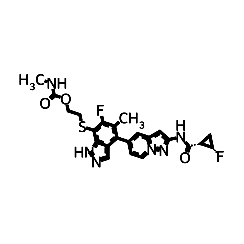 CNC(=O)OCCSc1c(F)c(C)c(-c2ccn3nc(NC(=O)[C@@H]4C[C@@H]4F)cc3c2)c2cn[nH]c12